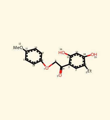 CCc1cc(C(=O)COc2ccc(OC)cc2)c(O)cc1O